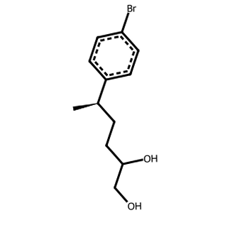 C[C@H](CCC(O)CO)c1ccc(Br)cc1